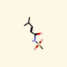 CC(C)/C=C/C(=O)NS(C)(=O)=O